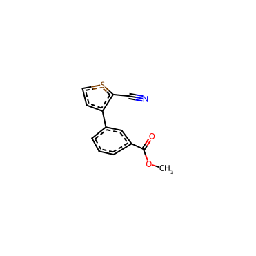 COC(=O)c1cccc(-c2ccsc2C#N)c1